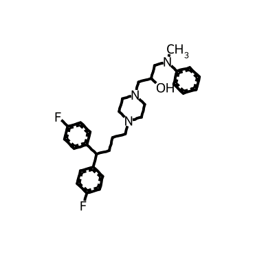 CN(CC(O)CN1CCN(CCCC(c2ccc(F)cc2)c2ccc(F)cc2)CC1)c1ccccc1